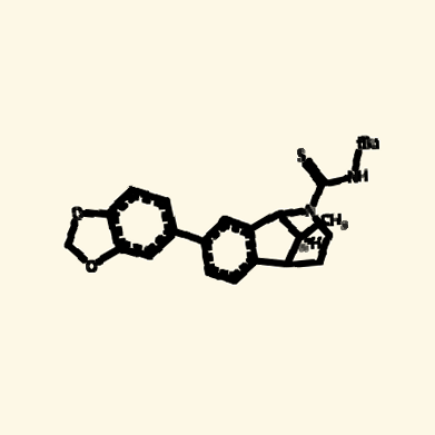 C[C@H]1C2CCN(C(=S)NC(C)(C)C)C1c1cc(-c3ccc4c(c3)OCO4)ccc12